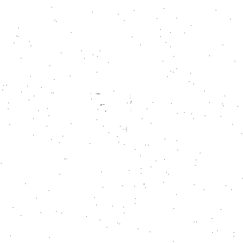 CC[C@]12CC[C@@H]3c4cc(OC)[c]cc4CC[C@H]3C1=CC[C@@H]2OC